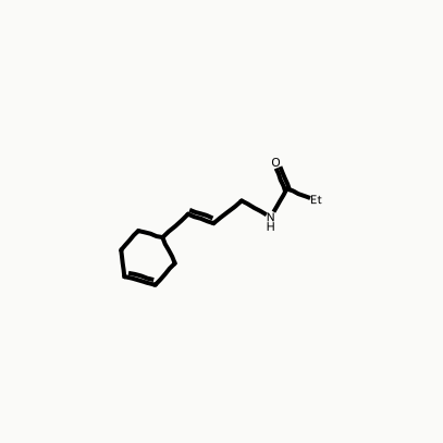 CCC(=O)NC/C=C/C1CC=CCC1